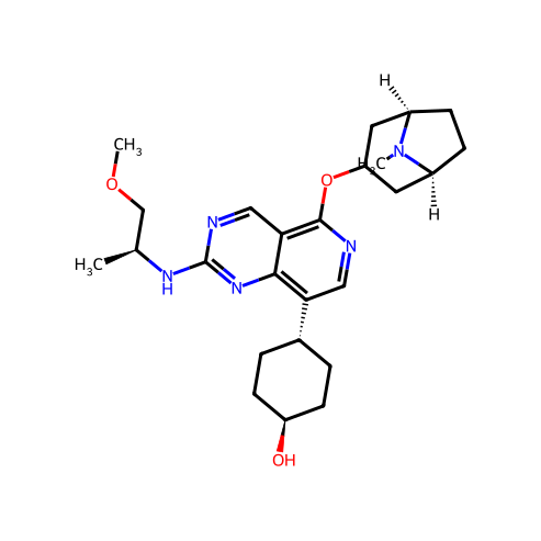 COC[C@H](C)Nc1ncc2c(OC3C[C@H]4CC[C@@H](C3)N4C)ncc([C@H]3CC[C@H](O)CC3)c2n1